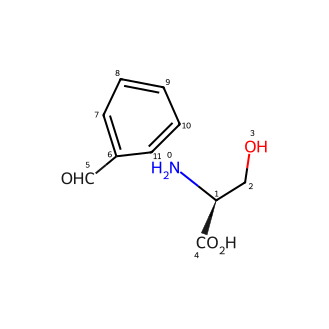 N[C@@H](CO)C(=O)O.O=Cc1ccccc1